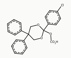 O=C(O)OC1(c2ccc(Cl)cc2)OCC(c2ccccc2)(c2ccccc2)CO1